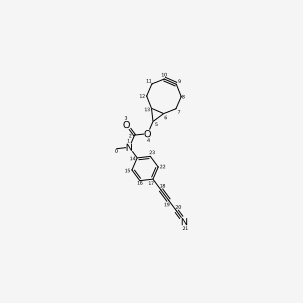 CN(C(=O)OC1C2CCC#CCCC21)c1ccc(C#CC#N)cc1